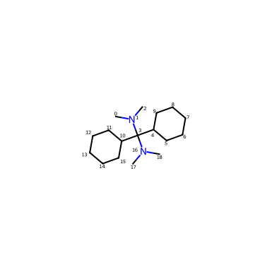 CN(C)C(C1CCCCC1)(C1CCCCC1)N(C)C